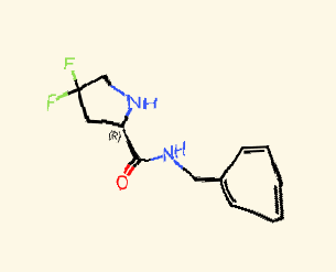 O=C(NCc1ccccc1)[C@H]1CC(F)(F)CN1